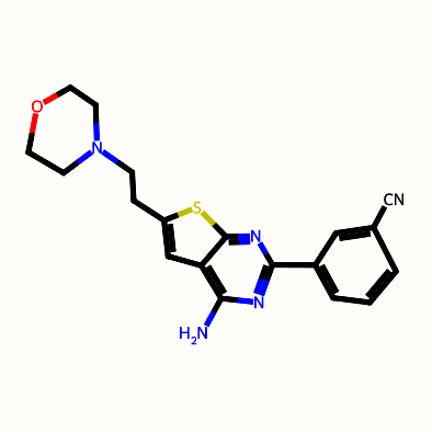 N#Cc1cccc(-c2nc(N)c3cc(CCN4CCOCC4)sc3n2)c1